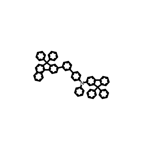 c1ccc(N(c2ccc(-c3cccc(-c4ccc5c(c4)C(c4ccccc4)(c4ccccc4)c4ccc6ccccc6c4-5)c3)cc2)c2ccc3c(c2)C(c2ccccc2)(c2ccccc2)c2ccccc2-3)cc1